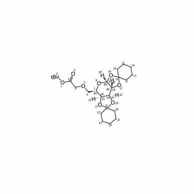 CC(C)(C)OC(=O)COC[C@H]1O[C@@H]2OC3(CCCCC3)O[C@@H]2[C@H]2OC3(CCCCC3)O[C@H]21